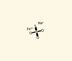 O=S([O-])([O-])=S.[Fe+2].[Na+]